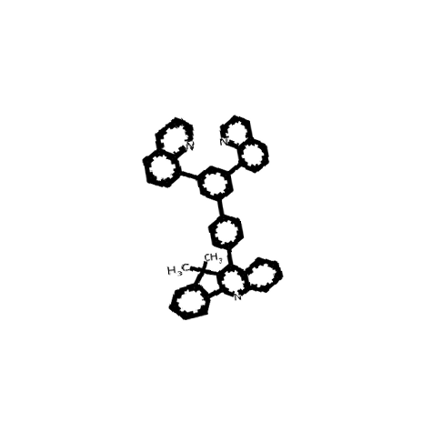 CC1(C)c2ccccc2-c2nc3ccccc3c(-c3ccc(-c4cc(-c5cccc6cccnc56)cc(-c5cccc6cccnc56)c4)cc3)c21